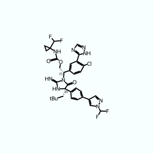 CC(C)(C)C[C@]1(c2ccc(-c3cnn(C(F)F)c3)cc2)NC(=N)N([C@H](COC(=O)NC2(C(F)F)CC2)c2ccc(Cl)c(-c3ncn[nH]3)c2)C1=O